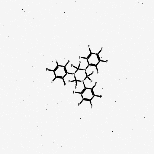 Fc1c(F)c(F)c(N2C(F)(F)N(c3c(F)c(F)c(F)c(F)c3F)C(F)(F)N(c3c(F)c(F)c(F)c(F)c3F)C2(F)F)c(F)c1F